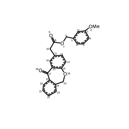 COc1cccc(COC(=O)Cc2ccc3c(c2)C(=O)c2ccccc2CO3)c1